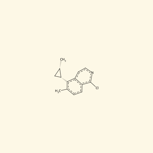 Cc1ccc2c(Cl)nccc2c1[C@@H]1C[C@@H]1C